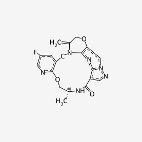 C=C1COc2cn3ncc4c3nc2N1Cc1cc(F)cnc1OC[C@@H](C)NC4=O